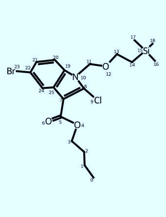 CCCCOC(=O)c1c(Cl)n(COCC[Si](C)(C)C)c2ccc(Br)cc12